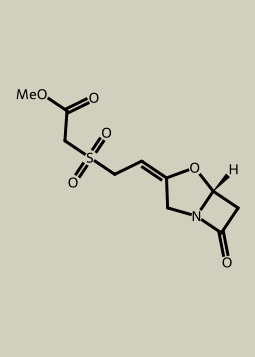 COC(=O)CS(=O)(=O)C/C=C1\CN2C(=O)C[C@H]2O1